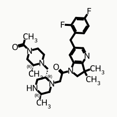 CC(=O)N1CCN(C[C@H]2CN[C@H](C)CN2CC(=O)N2CC(C)(C)c3ncc(Cc4ccc(F)cc4F)cc32)[C@H](C)C1